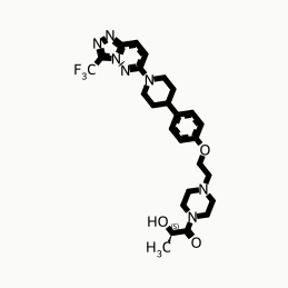 C[C@H](O)C(=O)N1CCN(CCOc2ccc(C3CCN(c4ccc5nnc(C(F)(F)F)n5n4)CC3)cc2)CC1